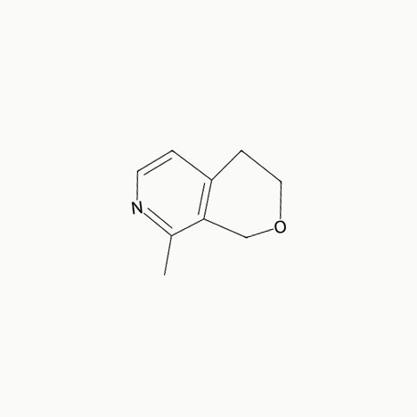 Cc1nccc2c1COCC2